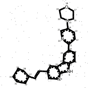 C(=C\c1cnc2[nH]c3ccc(-c4ccc(N5CCOCC5)cn4)cc3c2c1)/c1ccccc1